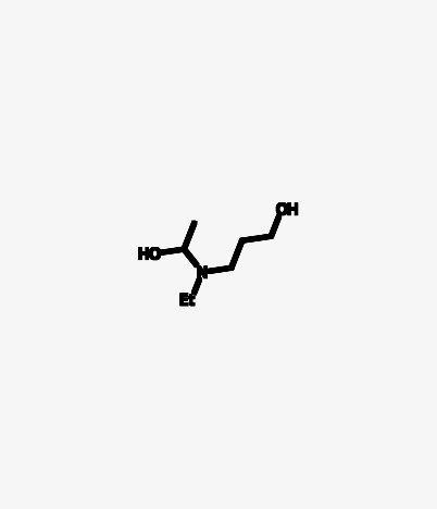 CCN(CCCO)C(C)O